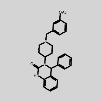 CC(=O)Oc1cccc(CN2CCC(N3C(=O)Nc4ccccc4C3c3ccccc3)CC2)c1